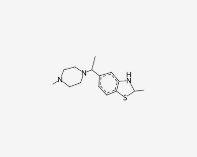 CC1Nc2cc(C(C)N3CCN(C)CC3)ccc2S1